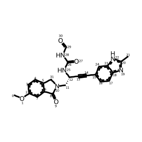 COc1ccc2c(c1)C(=O)N(C[C@@H](C#Cc1ccc3nc(C)[nH]c3c1)NC(=O)NC=O)C2